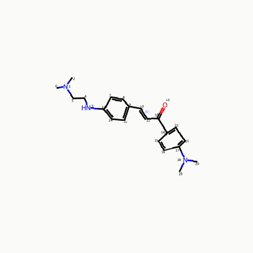 CN(C)CCNc1ccc(/C=C/C(=O)c2ccc(N(C)C)cc2)cc1